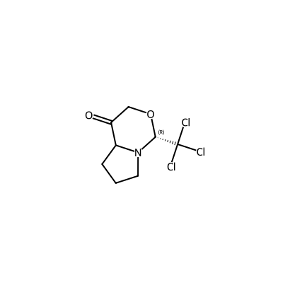 O=C1CO[C@H](C(Cl)(Cl)Cl)N2CCCC12